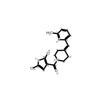 Cc1cccc(C=C2CCN(C(=O)c3cc(Cl)sc3Cl)CC2)n1